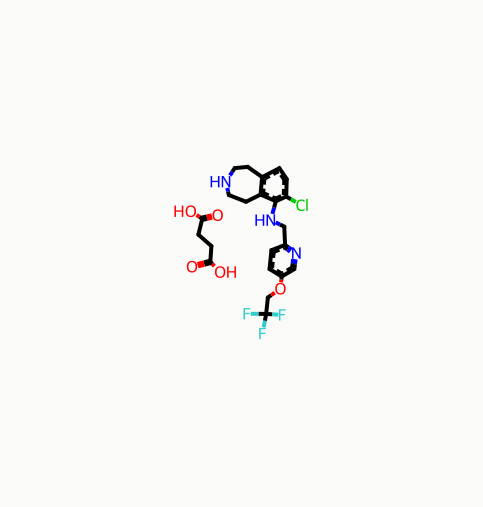 FC(F)(F)COc1ccc(CNc2c(Cl)ccc3c2CCNCC3)nc1.O=C(O)CCC(=O)O